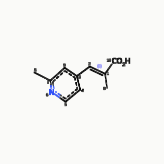 C/C(=C\c1ccnc(C)c1)C(=O)O